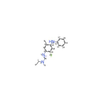 CCN(C)/C=N/c1cc(C)c(Nc2ccccc2)cc1F